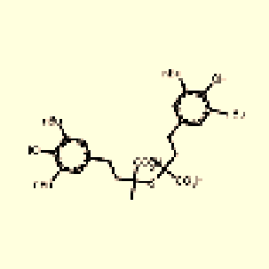 CCCCc1cc(CCC(C)(SC(C)(CCc2cc(CCCC)c(O)c(CCCC)c2)C(=O)O)C(=O)O)cc(CCCC)c1O